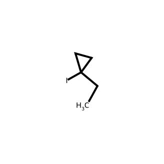 CCC1(I)CC1